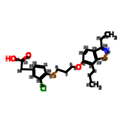 CCCc1c(OCCCSc2ccc(CC(=O)O)cc2Cl)ccc2c(CC)nsc12